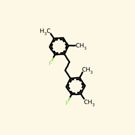 Cc1cc(C)c(CCc2cc(F)c(C)cc2C)c(F)c1